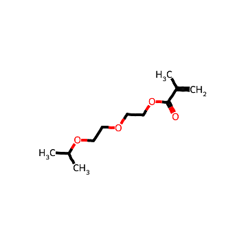 C=C(C)C(=O)OCCOCCOC(C)C